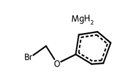 BrCOc1ccccc1.[MgH2]